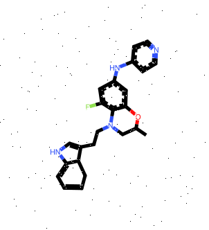 CC1CN(CCC2=CNC3=CC=CCC23)c2c(F)cc(Nc3ccncc3)cc2O1